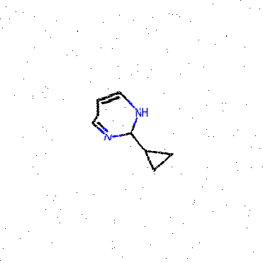 C1=CNC(C2CC2)N=C1